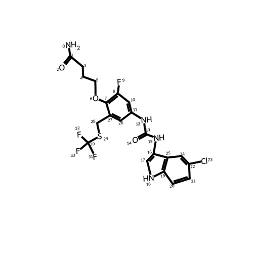 NC(=O)CCCOc1c(F)cc(NC(=O)Nc2c[nH]c3ccc(Cl)cc23)cc1CSC(F)(F)F